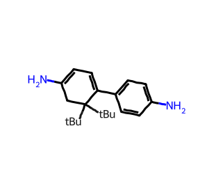 CC(C)(C)C1(C(C)(C)C)CC(N)=CC=C1c1ccc(N)cc1